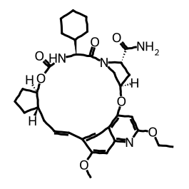 CCOc1cc2c3cc(c(OC)cc3n1)/C=C/C[C@@H]1CCC[C@H]1OC(=O)N[C@@H](C1CCCCC1)C(=O)N1C[C@@H](C[C@H]1C(N)=O)O2